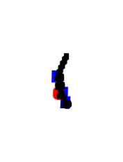 CCCCCCCCCc1ccc(-c2ccc(-c3nc(CCN4CCCC4C)c(C)o3)cc2)cn1